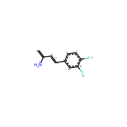 C=C(N)/C=C/c1ccc(F)c(F)c1